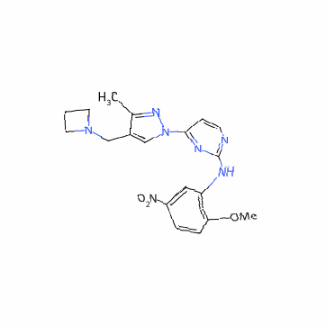 COc1ccc([N+](=O)[O-])cc1Nc1nccc(-n2cc(CN3CCC3)c(C)n2)n1